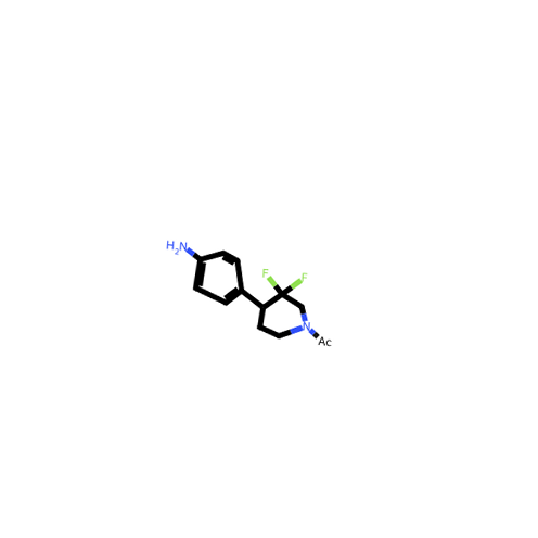 CC(=O)N1CCC(c2ccc(N)cc2)C(F)(F)C1